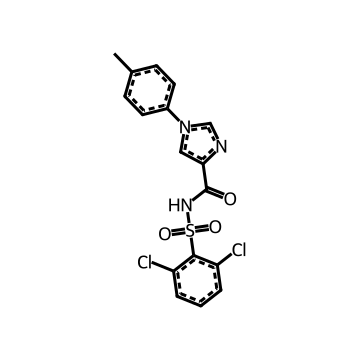 Cc1ccc(-n2cnc(C(=O)NS(=O)(=O)c3c(Cl)cccc3Cl)c2)cc1